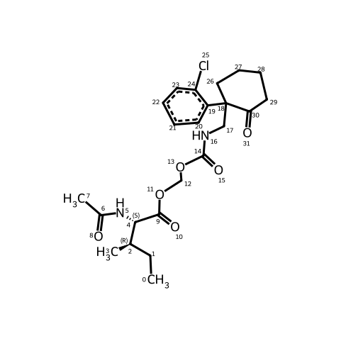 CC[C@@H](C)[C@H](NC(C)=O)C(=O)OCOC(=O)NCC1(c2ccccc2Cl)CCCCC1=O